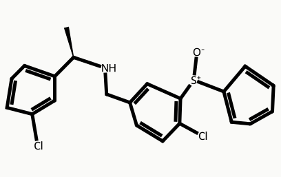 C[C@@H](NCc1ccc(Cl)c([S+]([O-])c2ccccc2)c1)c1cccc(Cl)c1